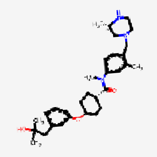 Cc1cc(N(C)C(=O)[C@H]2CC[C@H](Oc3cccc(CC(C)(C)O)c3)CC2)ccc1CN1CCN[C@@H](C)C1